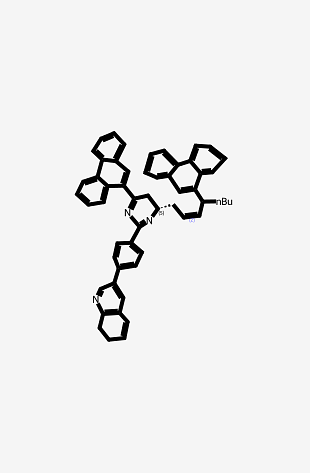 CCCCC(/C=C\C[C@H]1CC(c2cc3ccccc3c3ccccc23)=NC(c2ccc(-c3cnc4c(c3)C=CCC4)cc2)=N1)c1cc2ccccc2c2ccccc12